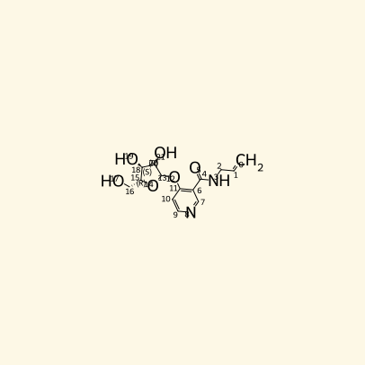 C=CCNC(=O)c1cnccc1OC1O[C@H](CO)[C@@H](O)[C@H]1O